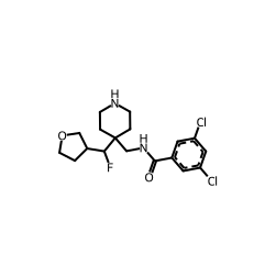 O=C(NCC1(C(F)C2CCOC2)CCNCC1)c1cc(Cl)cc(Cl)c1